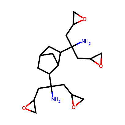 NC(CC1CO1)(CC1CO1)C1CC2CC1C(C(N)(CC1CO1)CC1CO1)C2